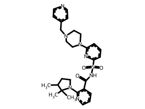 CC1CCN(c2ncccc2C(=O)NS(=O)(=O)c2cccc(N3CCN(Cc4ccncc4)CC3)n2)C1(C)C